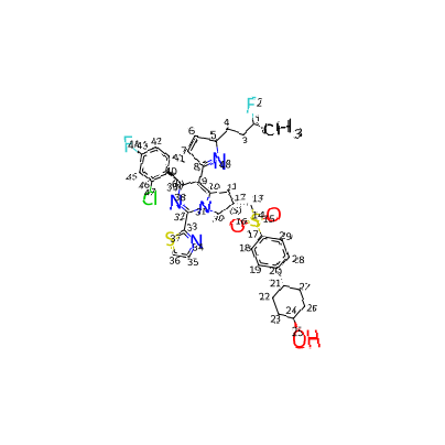 CC(F)CCC1C=CC(C2=C3C[C@H](CS(=O)(=O)c4ccc([C@H]5CC[C@H](O)CC5)cc4)CN3C(c3nccs3)=N[C@H]2c2ccc(F)cc2Cl)=N1